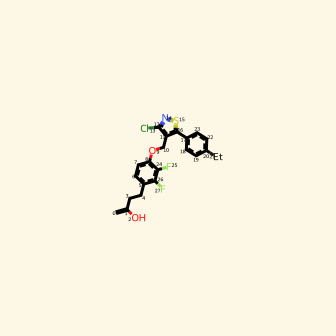 C=C(O)CCc1ccc(OCc2c(Cl)nsc2-c2ccc(CC)cc2)c(F)c1F